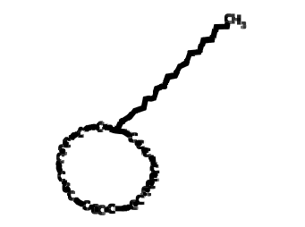 CCCCCCCCCCCCCCCCCCCC1CCCCCCCCCCCCCCCCCCCCCCCCCCCCC1